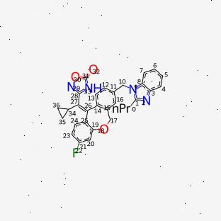 CCCc1nc2ccccc2n1Cc1ccc2c(c1)COc1cc(F)ccc1C2=C(c1noc(=O)[nH]1)C1CC1